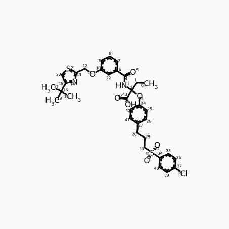 CCC(NC(=O)c1cccc(OCc2nc(C(C)(C)C)cs2)c1)(Oc1ccc(CCCS(=O)(=O)c2ccc(Cl)cc2)cc1)C(=O)O